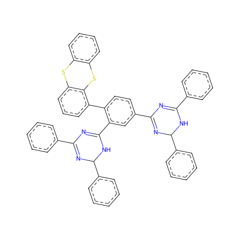 c1ccc(C2=NC(c3ccccc3)NC(c3cc(C4=NC(c5ccccc5)NC(c5ccccc5)=N4)ccc3-c3cccc4c3Sc3ccccc3S4)=N2)cc1